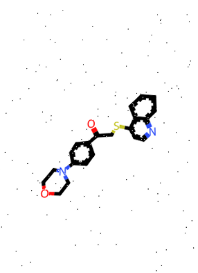 O=C(CSc1ccnc2ccccc12)c1ccc(N2CCOCC2)cc1